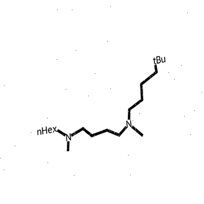 CCCCCCN(C)CCCCN(C)CCCCC(C)(C)C